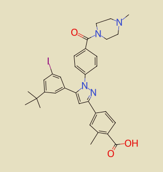 Cc1cc(-c2cc(-c3cc(I)cc(C(C)(C)C)c3)n(-c3ccc(C(=O)N4CCN(C)CC4)cc3)n2)ccc1C(=O)O